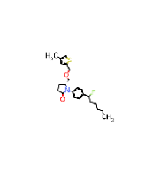 CCCCCC(F)c1ccc(N2C(=O)CC[C@@H]2COCc2cc(C)cs2)cc1